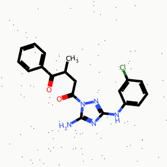 CC(CC(=O)n1nc(Nc2cccc(Cl)c2)nc1N)C(=O)c1ccccc1